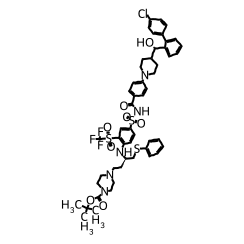 CC(C)(C)OC(=O)N1CCN(CC[C@H](CSc2ccccc2)Nc2ccc(S(=O)(=O)NC(=O)c3ccc(N4CCC([C@H](O)c5ccccc5-c5ccc(Cl)cc5)CC4)cc3)cc2S(=O)(=O)C(F)(F)F)CC1